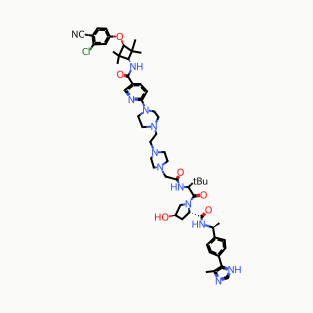 Cc1nc[nH]c1-c1ccc([C@H](C)NC(=O)[C@@H]2C[C@@H](O)CN2C(=O)C(NC(=O)CN2CCN(CCN3CCN(c4ccc(C(=O)N[C@H]5C(C)(C)[C@H](Oc6ccc(C#N)c(Cl)c6)C5(C)C)cn4)CC3)CC2)C(C)(C)C)cc1